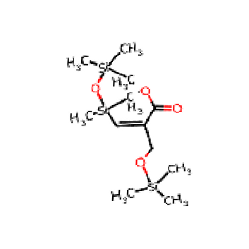 C[Si](C)(C)OCC(=C[Si](C)(C)O[Si](C)(C)C)C([O])=O